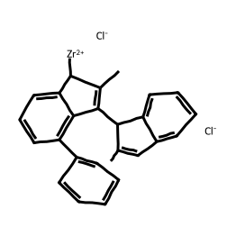 CC1=Cc2ccccc2C1C1=C(C)[CH]([Zr+2])c2cccc(-c3ccccc3)c21.[Cl-].[Cl-]